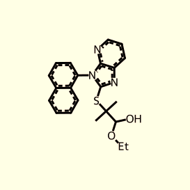 CCOC(O)C(C)(C)Sc1nc2cccnc2n1-c1cccc2ccccc12